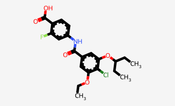 CCOc1cc(C(=O)Nc2ccc(C(=O)O)c(F)c2)cc(OC(CC)CC)c1Cl